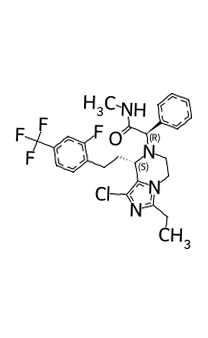 CCc1nc(Cl)c2n1CCN([C@@H](C(=O)NC)c1ccccc1)[C@H]2CCc1ccc(C(F)(F)F)cc1F